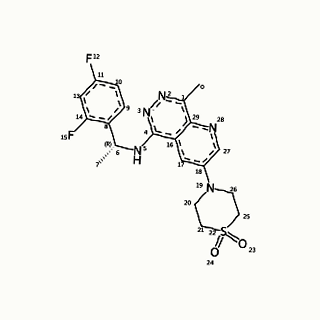 Cc1nnc(N[C@H](C)c2ccc(F)cc2F)c2cc(N3CCS(=O)(=O)CC3)cnc12